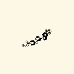 CCC(C)OC(=O)N1CCC(Oc2cc(N3CCc4cc(S(=O)(=O)CC)ccc43)ncn2)CC1